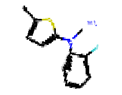 Cc1ccc(N(C)c2ccccc2F)s1.N